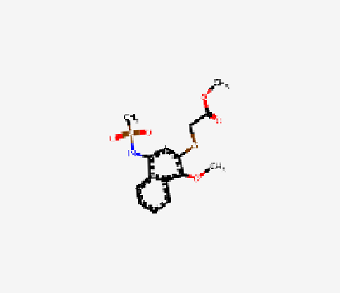 COC(=O)CSc1cc(NS(C)(=O)=O)c2ccccc2c1OC